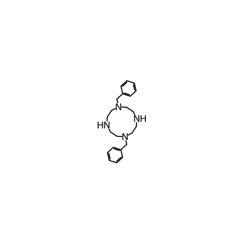 c1ccc(CN2CCNCCN(Cc3ccccc3)CCNCC2)cc1